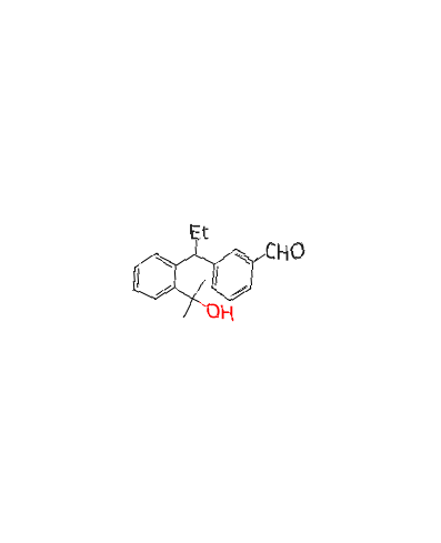 [CH2]CC(c1cccc(C=O)c1)c1ccccc1C(C)(C)O